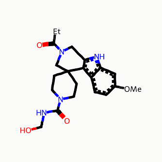 CCC(=O)N1Cc2[nH]c3cc(OC)ccc3c2C2(CCN(C(=O)NCO)CC2)C1